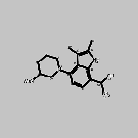 CNC1CCCN(c2ccc(C(N)O)c3[nH]c(C)c(C)c23)C1